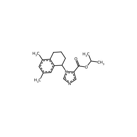 Cc1cc(C)c2c(c1)C(n1cncc1C(=O)OC(C)C)CCC2